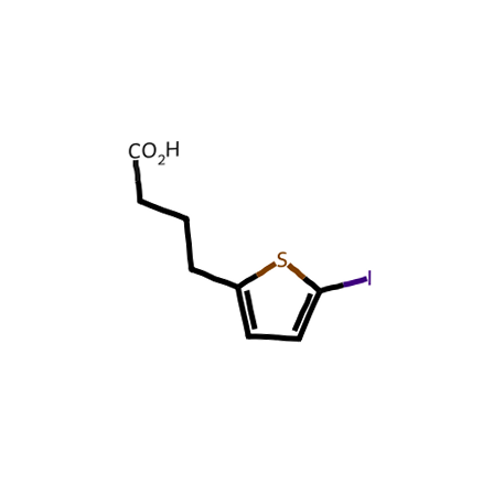 O=C(O)CCCc1ccc(I)s1